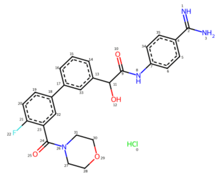 Cl.N=C(N)c1ccc(NC(=O)C(O)c2cccc(-c3ccc(F)c(C(=O)N4CCOCC4)c3)c2)cc1